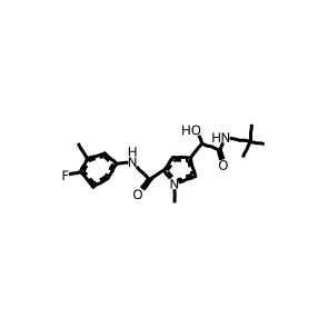 Cc1cc(NC(=O)c2cc(C(O)C(=O)NC(C)(C)C)cn2C)ccc1F